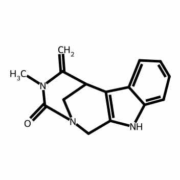 C=C1C2CN(Cc3[nH]c4ccccc4c32)C(=O)N1C